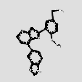 CCc1ccc(OC)c(-c2cc3nccc(-c4ccc5[nH]cnc5c4)c3o2)c1